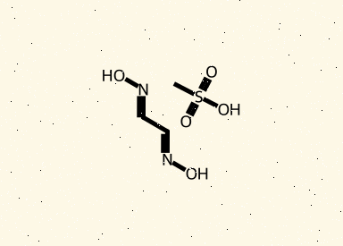 CS(=O)(=O)O.O/N=C/C=N/O